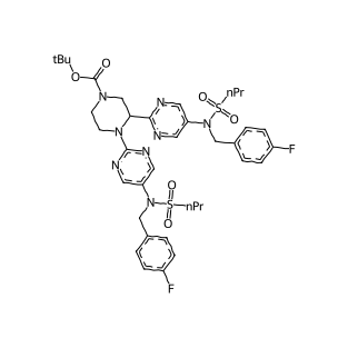 CCCS(=O)(=O)N(Cc1ccc(F)cc1)c1cnc(C2CN(C(=O)OC(C)(C)C)CCN2c2ncc(N(Cc3ccc(F)cc3)S(=O)(=O)CCC)cn2)nc1